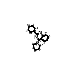 c1ccc2c(N3CCCCC3)nc(C3CCCCC3)nc2c1